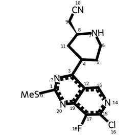 CSc1nc(C2CCN[C@H](CC#N)C2)c2cnc(Cl)c(F)c2n1